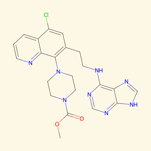 COC(=O)N1CCN(c2c(CCNc3ncnc4[nH]cnc34)cc(Cl)c3cccnc23)CC1